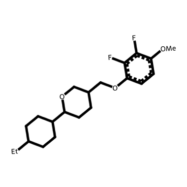 CCC1CCC(C2CCC(COc3ccc(OC)c(F)c3F)CO2)CC1